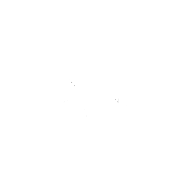 O=[N+]([O-])c1cncs1